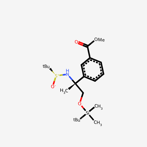 COC(=O)c1cccc([C@](C)(CO[Si](C)(C)C(C)(C)C)N[S@@+]([O-])C(C)(C)C)c1